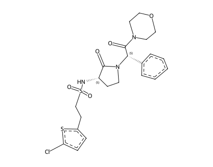 O=C([C@H](c1ccccc1)N1CC[C@H](NS(=O)(=O)CCc2ccc(Cl)s2)C1=O)N1CCOCC1